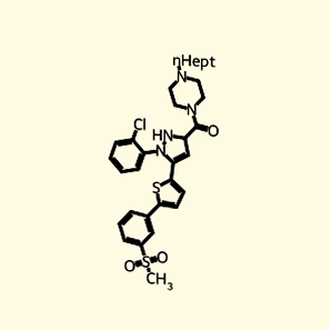 CCCCCCCN1CCN(C(=O)C2C=C(c3ccc(-c4cccc(S(C)(=O)=O)c4)s3)N(c3ccccc3Cl)N2)CC1